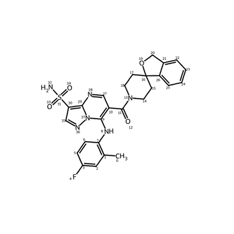 Cc1cc(F)ccc1Nc1c(C(=O)N2CCC3(CC2)OCc2ccccc23)cnc2c(S(N)(=O)=O)cnn12